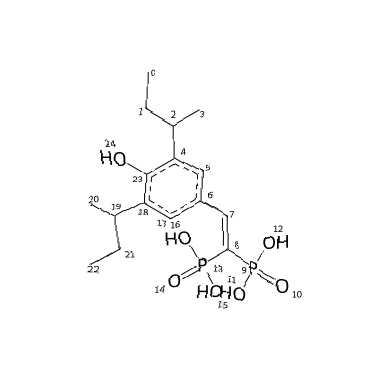 CCC(C)c1cc(C=C(P(=O)(O)O)P(=O)(O)O)cc(C(C)CC)c1O